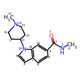 CNC(=O)c1ccc2ccn(C3CCN(C)CC3)c2c1